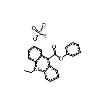 CC[n+]1c2ccccc2c(C(=O)Oc2ccccc2)c2ccccc21.O=S(=O)([O-])F